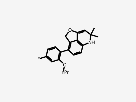 CCCOc1cc(F)ccc1-c1ccc2c3c1COC3=CC(C)(C)N2